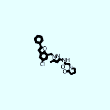 Cc1cc(NC(=O)CN2CCCC2=O)nn1Cc1cc(Cl)cc2cc(-c3ccccc3)oc12